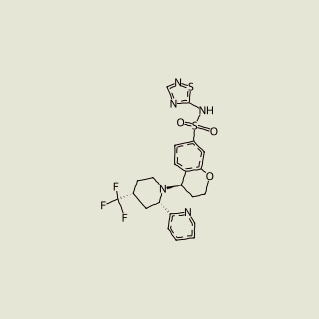 O=S(=O)(Nc1ncns1)c1ccc2c(c1)OCC[C@H]2N1CC[C@@H](C(F)(F)F)C[C@H]1c1ccccn1